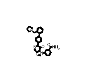 NC(=O)c1cccc(-n2cnc3c2C(=O)C(c2ccc(-c4ccccc4CN4CCCC4)cc2)N=C3)c1